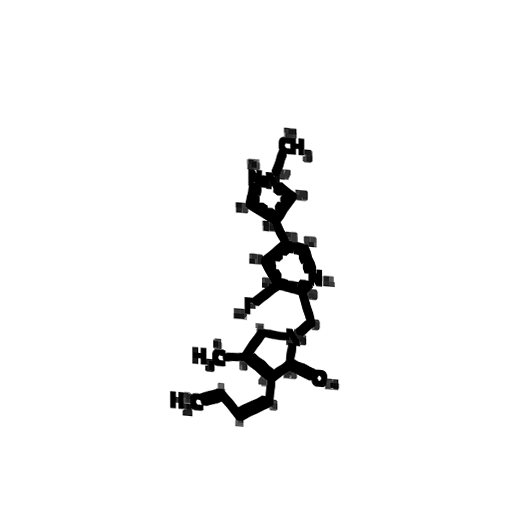 C=C/C=C\C1=C(C)CN(Cc2ncc(-c3cnn(C)c3)cc2F)C1=O